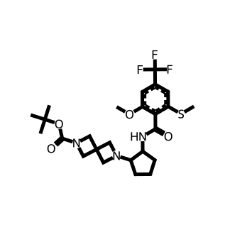 COc1cc(C(F)(F)F)cc(SC)c1C(=O)NC1CCCC1N1CC2(CN(C(=O)OC(C)(C)C)C2)C1